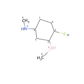 CBC1CC(NC)CCC1F